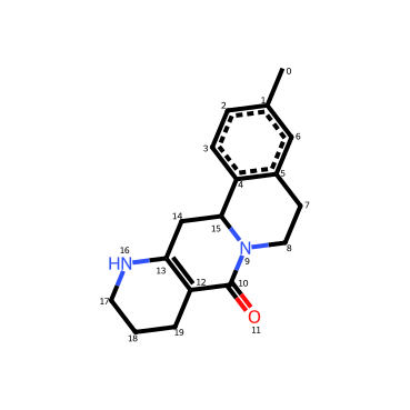 Cc1ccc2c(c1)CCN1C(=O)C3=C(CC21)NCCC3